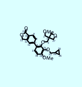 COCC1(COc2c(-c3ccc4c(c3)COC4=O)ccc(OC)c2OCC2CC2)COC1